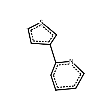 [c]1cc(-c2ccccn2)cs1